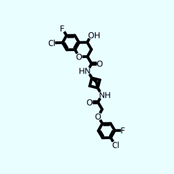 O=C(COc1ccc(Cl)c(F)c1)NC12CC(NC(=O)C3CC(O)c4cc(F)c(Cl)cc4O3)(C1)C2